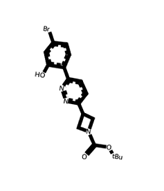 CC(C)(C)OC(=O)N1CC(c2ccc(-c3ccc(Br)cc3O)nn2)C1